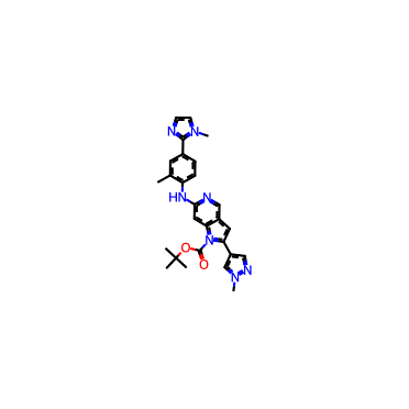 Cc1cc(-c2nccn2C)ccc1Nc1cc2c(cn1)cc(-c1cnn(C)c1)n2C(=O)OC(C)(C)C